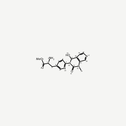 COC(=O)[C@@H](N)Cc1ccc(N2C(=O)N(C)c3cnccc3C2O)nc1